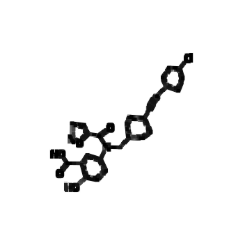 O=C(O)c1cc(N(Cc2ccc(C#Cc3ccc(Cl)cc3)cc2)C(=O)c2ccno2)ccc1O